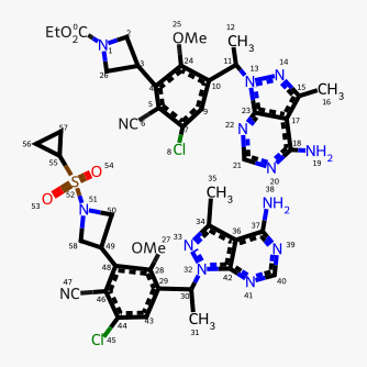 CCOC(=O)N1CC(c2c(C#N)c(Cl)cc(C(C)n3nc(C)c4c(N)ncnc43)c2OC)C1.COc1c(C(C)n2nc(C)c3c(N)ncnc32)cc(Cl)c(C#N)c1C1CN(S(=O)(=O)C2CC2)C1